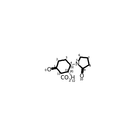 O=C1CC[C@H](N2CCCC2=O)[C@H](C(=O)O)C1